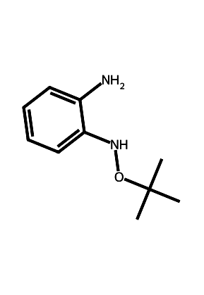 CC(C)(C)ONc1ccccc1N